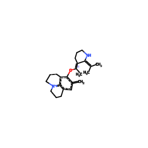 C=c1cc2c3c(c1O/C(C)=C1\CCCNC1=C(C)C)CCC[N+]=3CCC2